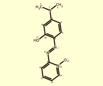 CN(C)c1ccc(N=Nc2cccc[n+]2[O-])c(O)c1